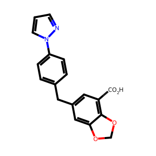 O=C(O)c1cc(Cc2ccc(-n3cccn3)cc2)cc2c1OCO2